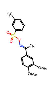 COc1ccc(C(C#N)=NOS(=O)(=O)c2cccc(C(F)(F)F)c2)cc1OC